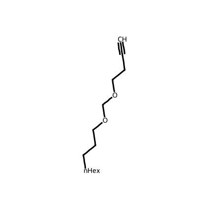 C#CCCOCOCCCCCCCCC